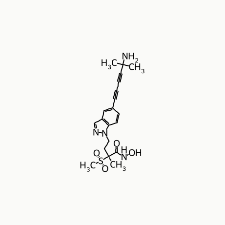 CC(C)(N)C#CC#Cc1ccc2c(cnn2CC[C@](C)(C(=O)NO)S(C)(=O)=O)c1